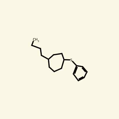 CCCCC1CCCC(Sc2ccccc2)CC1